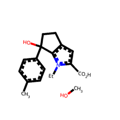 CCn1c(C(=O)O)cc2c1C(O)(c1ccc(C)cc1)CC2.CO